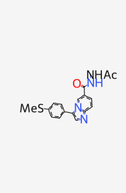 CSc1ccc(-c2cnc3ccc(C(=O)NNC(C)=O)cn23)cc1